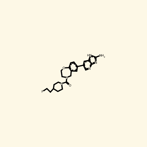 Nc1nc2ncc(-c3ccc4c(c3)CN(C(=O)N3CCC(CCF)CC3)CCO4)cc2[nH]1